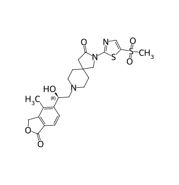 Cc1c([C@@H](O)CN2CCC3(CC2)CC(=O)N(c2ncc(S(C)(=O)=O)s2)C3)ccc2c1COC2=O